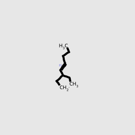 [CH2]CC(/C=C/CCC)CC